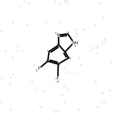 Fc1cc2n[c][nH]c2cc1F